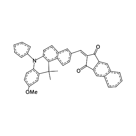 COc1ccc2c(c1)C(C)(C)c1c(ccc3cc(C=C4C(=O)c5cc6ccccc6cc5C4=O)ccc13)N2c1ccccc1